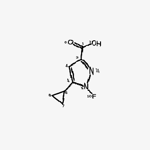 O=C(O)c1cc(C2CC2)n(F)n1